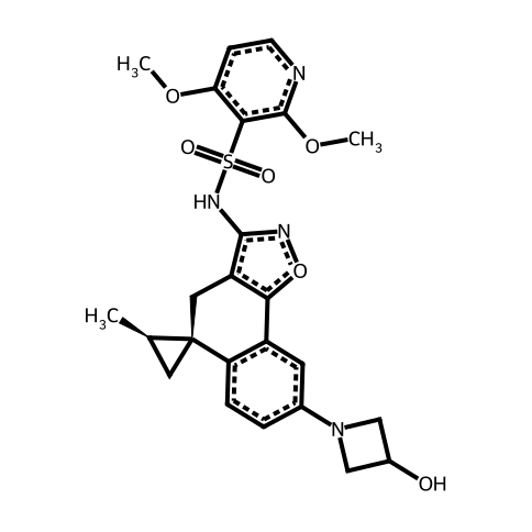 COc1ccnc(OC)c1S(=O)(=O)Nc1noc2c1C[C@]1(C[C@H]1C)c1ccc(N3CC(O)C3)cc1-2